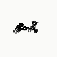 CC(C)Nc1nc(NCC2CCC(Cc3c(S(N)(=O)=O)ccc4ccccc34)CC2)nc(N2C[C@@H](C)O[C@@H](C)C2)n1